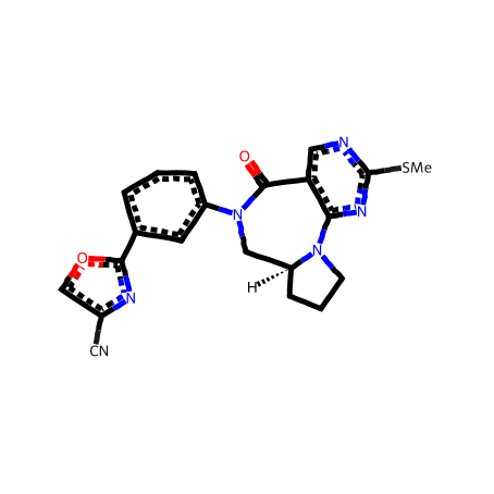 CSc1ncc2c(n1)N1CCC[C@H]1CN(c1cccc(-c3nc(C#N)co3)c1)C2=O